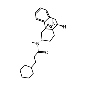 CN(C(=O)CCC1CCCCC1)[C@H]1CC[C@H]2[C@H]3Cc4ccccc4[C@@]2(CCN3)C1